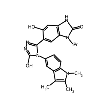 Cc1c(C)n(C)c2ccc(-n3c(O)nnc3-c3cc4c(cc3O)[nH]c(=O)n4C(C)C)cc12